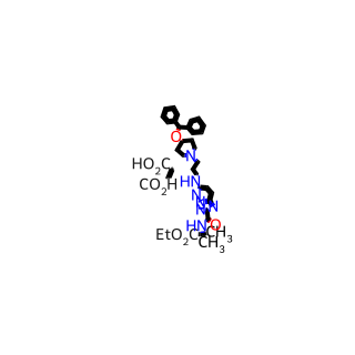 CCOC(=O)C(C)(C)NC(=O)c1nc2ccc(NCCCN3CCC(OC(c4ccccc4)c4ccccc4)CC3)nn2n1.O=C(O)/C=C/C(=O)O